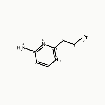 CC(C)CCc1nccc(N)n1